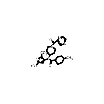 CC1CCC(C(=O)N(c2cc(C(C)(C)C)sc2C(=O)O)C2CCN(C(=O)c3cnccn3)CC2)CC1